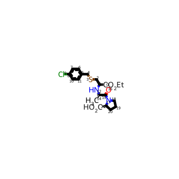 CCOC(=O)C(CSCc1ccc(Cl)cc1)N[C@@H](C)C(=O)N1CCC[C@H]1C(=O)O